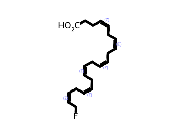 O=C(O)CC/C=C\C/C=C\C/C=C\C/C=C\C/C=C\C/C=C\CF